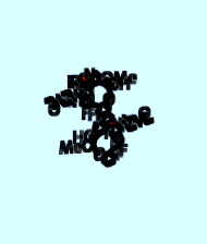 C=CC(=O)N1CCN(c2nc(=O)n3c4nc(c(F)cc24)-c2c(F)cc(CC(C)c4nccc5c4-n4c(=O)nc(N6CCN(C(=O)C=C)C[C@@H]6C)c6cc(F)c(nc64)-c4c(F)cccc4OCC(OC)C5O)cc2OCC(O)C(OC)c2ccnc(C(C)C)c2-3)[C@@H](C)C1